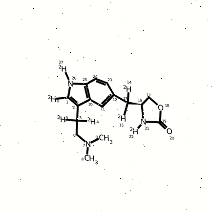 [2H]c1c(C([2H])([2H])CN(C)C)c2cc(C([2H])([2H])[C@H]3COC(=O)N3[2H])ccc2n1[2H]